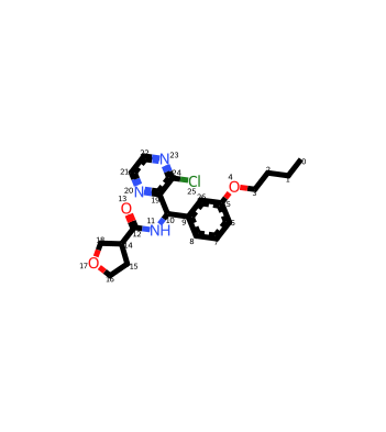 CCCCOc1cccc(C(NC(=O)C2CCOC2)c2nccnc2Cl)c1